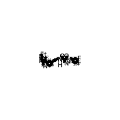 CCOc1nc2cnc3ccc(C#CCNC(=O)c4cncn(Cc5ccc(F)c(F)c5)c4=O)cc3c2n1C